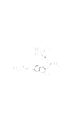 CCCCOc1ccc2c(c1)C[C@H](C)C(CN(C)CCC(=O)OC(C)(C)C)=C2